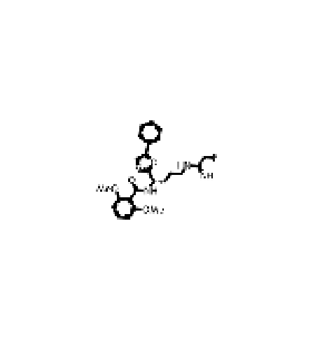 COc1cccc(OC)c1C(=O)N[C@@H](CCCNC(=N)CF)c1ncc(-c2ccccc2)o1